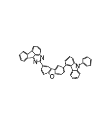 c1ccc(-n2c3ccccc3c3c(-c4ccc5oc6ccc(-c7nc8c9c(cccc9n7)-c7ccccc7-8)cc6c5c4)cccc32)cc1